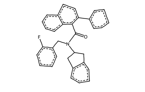 O=C(c1c(-c2ccccc2)ccc2ccccc12)N(Cc1ccccc1F)C1Cc2ccccc2C1